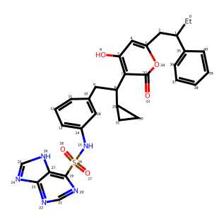 CCC(Cc1cc(O)c(C(Cc2cccc(NS(=O)(=O)c3ncnc4nc[nH]c34)c2)C2CC2)c(=O)o1)c1ccccc1